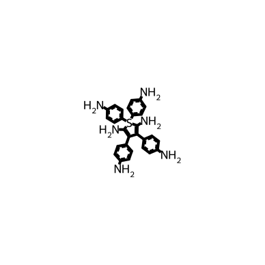 NC1=C(c2ccc(N)cc2)C(c2ccc(N)cc2)=C(N)S1(c1ccc(N)cc1)c1ccc(N)cc1